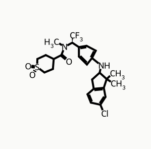 CN(C(=O)C1CCS(=O)(=O)CC1)[C@@H](c1ccc(NC2Cc3ccc(Cl)cc3C2(C)C)cc1)C(F)(F)F